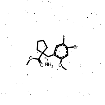 COC(=O)C1([C@@H](N)c2cc(F)c(Br)cc2OC)CCCC1